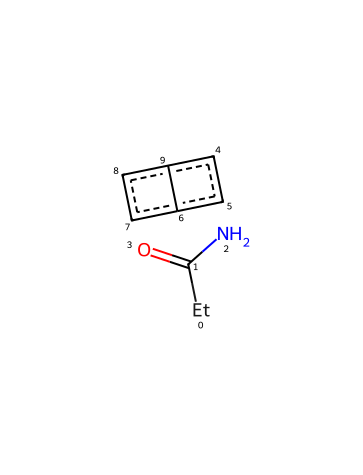 CCC(N)=O.c1cc2ccc1-2